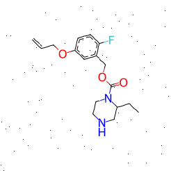 C=CCOc1ccc(F)c(COC(=O)N2CCNCC2CC)c1